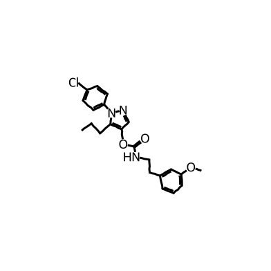 CCCc1c(OC(=O)NCCc2cccc(OC)c2)cnn1-c1ccc(Cl)cc1